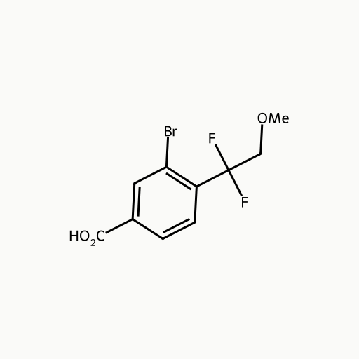 COCC(F)(F)c1ccc(C(=O)O)cc1Br